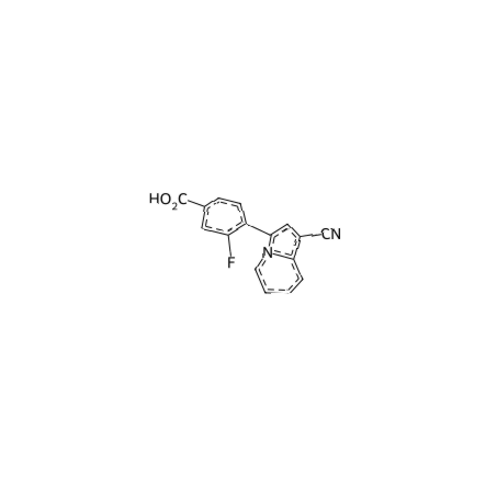 N#Cc1cc(-c2ccc(C(=O)O)cc2F)n2ccccc12